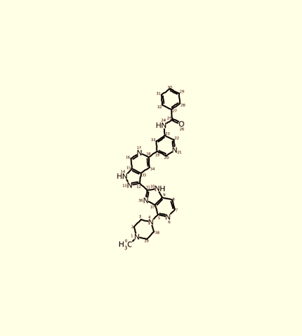 CN1CCN(c2nccc3[nH]c(-c4n[nH]c5cnc(-c6cncc(NC(=O)c7ccccc7)c6)cc45)nc23)CC1